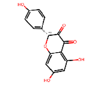 O=C1C(=O)[C@@H](c2ccc(O)cc2)Oc2cc(O)cc(O)c21